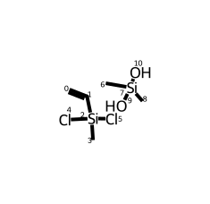 C=C[Si](C)(Cl)Cl.C[Si](C)(O)O